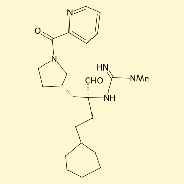 CNC(=N)N[C@@](C=O)(CCC1CCCCC1)C[C@@H]1CCN(C(=O)c2ccccn2)C1